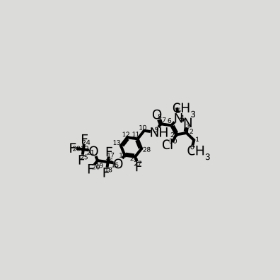 CCc1nn(C)c(C(=O)NCc2ccc(OC(F)(F)C(F)OC(F)(F)F)c(F)c2)c1Cl